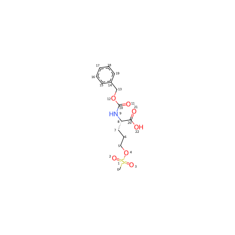 CS(=O)(=O)OCCC[C@H](NC(=O)OCc1ccccc1)C(=O)O